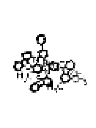 Cc1cc2c3c(c1)N(c1cccc4c1sc1ccccc14)c1cc(N4c5cc(C)cc(C)c5C5(C)CCCCC45C)ccc1B3c1ccc(-c3ccccc3)cc1N2c1cccc2c1oc1ccccc12